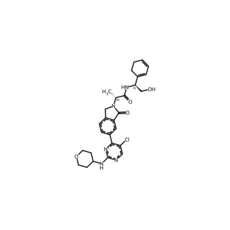 C[C@H](C(=O)N[C@H](CO)C1=CC=CCC1)N1Cc2ccc(-c3nc(NC4CCOCC4)ncc3Cl)cc2C1=O